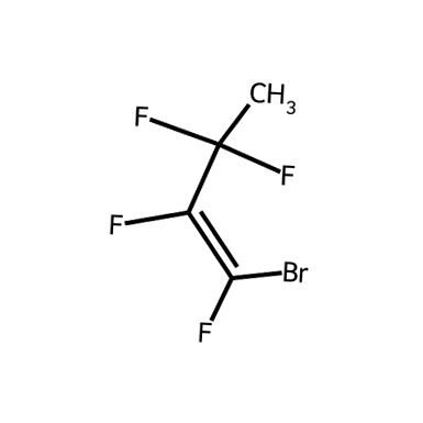 CC(F)(F)C(F)=C(F)Br